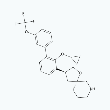 FC(F)(F)Oc1cccc(-c2cccc([C@H]3CO[C@]4(CCCNC4)C3)c2OC2CC2)c1